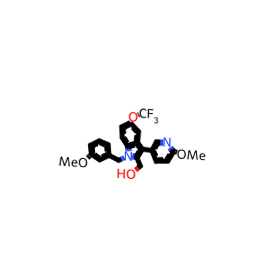 COc1cccc(Cn2c(CO)c(-c3ccc(OC)nc3)c3cc(OC(F)(F)F)ccc32)c1